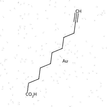 C#CCCCCCCCCC(=O)O.[Au]